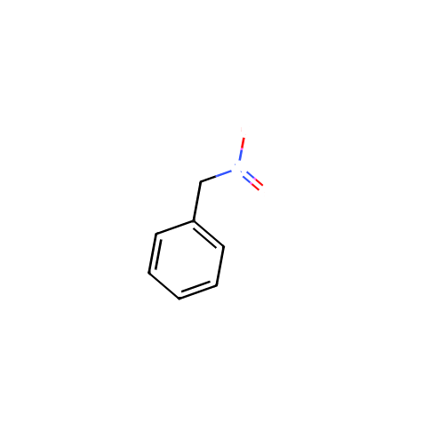 O=[N+]([O-])[CH]c1ccccc1